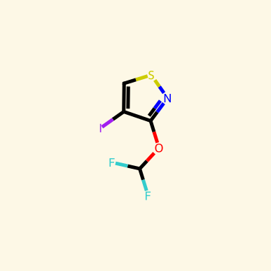 FC(F)Oc1nscc1I